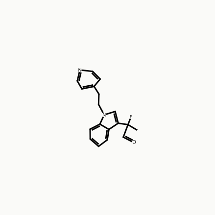 CC(F)(C=O)c1cn(CCc2ccncc2)c2ccccc12